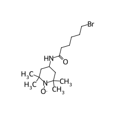 CC1(C)CC(NC(=O)CCCCCBr)CC(C)(C)N1[O]